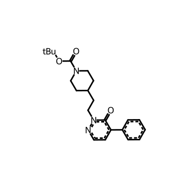 CC(C)(C)OC(=O)N1CCC(CCn2nccc(-c3ccccc3)c2=O)CC1